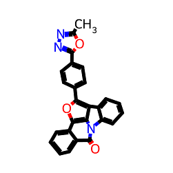 Cc1nnc(-c2ccc(-c3oc4c5ccccc5c(=O)n5c6ccccc6c3c45)cc2)o1